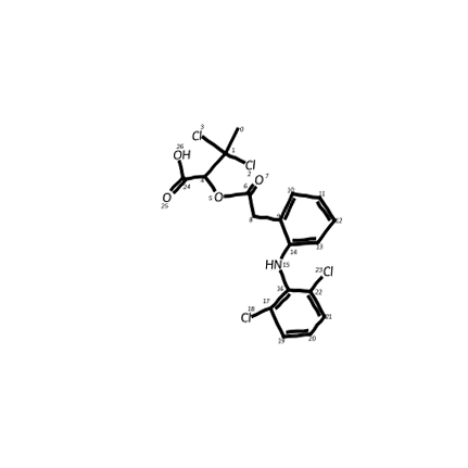 CC(Cl)(Cl)C(OC(=O)Cc1ccccc1Nc1c(Cl)cccc1Cl)C(=O)O